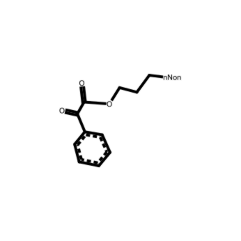 CCCCCCCCCCCCOC(=O)C(=O)c1ccccc1